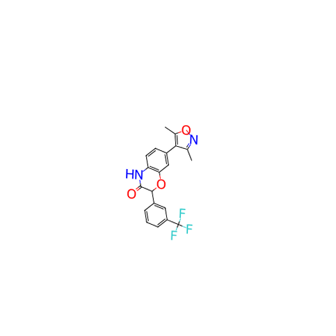 Cc1noc(C)c1-c1ccc2c(c1)OC(c1cccc(C(F)(F)F)c1)C(=O)N2